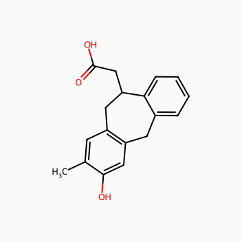 Cc1cc2c(cc1O)Cc1ccccc1C(CC(=O)O)C2